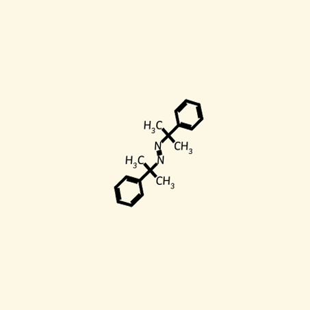 CC(C)(N=NC(C)(C)c1ccccc1)c1ccccc1